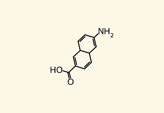 NC1=CC2C=CC(C(=O)O)=CC2C=C1